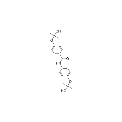 CC(C)(O)Oc1ccc(NC(=O)c2ccc(OC(C)(C)O)cc2)cc1